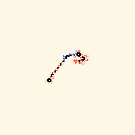 O=C(NCCCCc1cn(CCOCCOCCOCCOCCC(=O)Oc2c(F)c(F)c(F)c(F)c2F)nn1)Nc1ccc(O[C@H]2O[C@H](CCP(=O)(O)O)[C@@H](O)[C@H](O)[C@@H]2O)cc1O